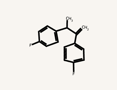 C=C(c1ccc(F)cc1)C(C)c1ccc(F)cc1